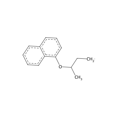 [CH2]CC(C)Oc1cccc2ccccc12